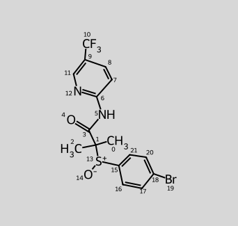 CC(C)(C(=O)Nc1ccc(C(F)(F)F)cn1)[S+]([O-])c1ccc(Br)cc1